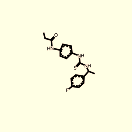 CCC(=O)Nc1ccc(NC(=S)NC(C)c2ccc(F)cc2)cc1